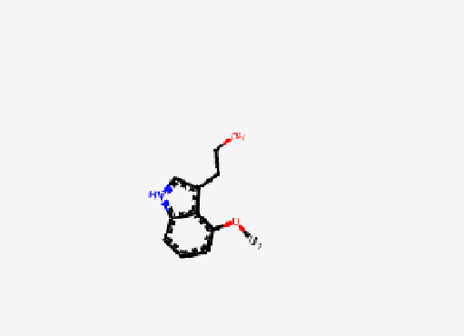 OCCc1c[nH]c2cccc(OC(F)(F)F)c12